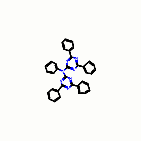 c1ccc(-c2nc(-c3ccccc3)nc(N(c3ccccc3)c3nc(-c4ccccc4)nc(-c4ccccc4)n3)n2)cc1